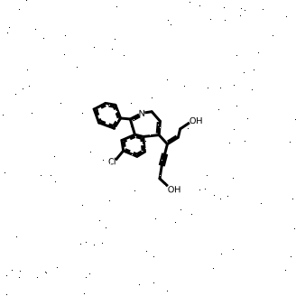 OCC#C/C(=C/CO)C1=CCN=C(c2ccccc2)c2cc(Cl)ccc21